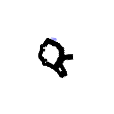 C=C1C/C=C\CCCC2CCC12